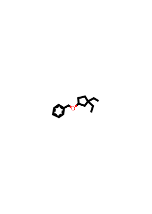 CCC1(CC)CCC(OCc2ccccc2)C1